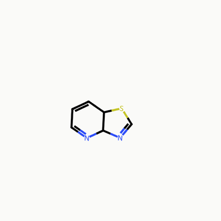 C1=CC2SC=NC2N=C1